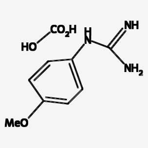 COc1ccc(NC(=N)N)cc1.O=C(O)O